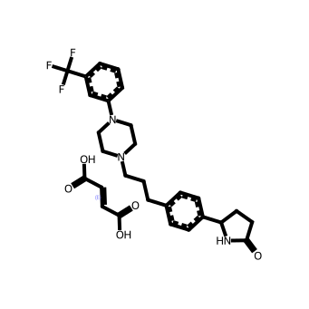 O=C(O)/C=C/C(=O)O.O=C1CCC(c2ccc(CCCN3CCN(c4cccc(C(F)(F)F)c4)CC3)cc2)N1